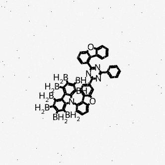 Bc1c(B)c(B)c2c(c1B)c1c(B)c(B)c(B)c(B)c1n2-c1cccc2oc3cc(-c4nc(-c5ccccc5)nc(-c5cccc6oc7ccccc7c56)n4)ccc3c12